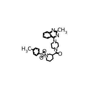 Cc1ccc(S(=O)(=O)N2CCCC(C(=O)N3CCN(c4nc(C)nc5ccccc45)CC3)C2)cc1